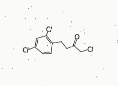 O=C(CCl)CCc1ccc(Cl)cc1Cl